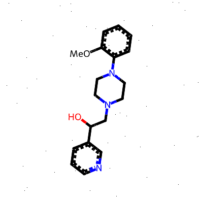 COc1ccccc1N1CCN(CC(O)c2cccnc2)CC1